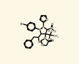 CC(C)(C)C1(N2COCC2=O)C(C(N)Cc2ccccc2)N(c2ccc(Br)cc2)N(c2ccco2)C1[N+](=O)[O-]